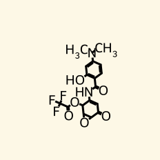 CN(C)c1ccc(C(=O)NC2=CC(=O)C3OC3C2OC(=O)C(F)(F)F)c(O)c1